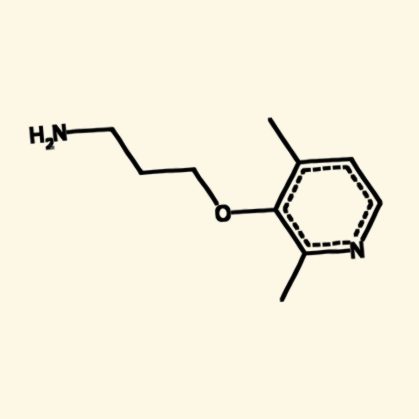 Cc1ccnc(C)c1OCCCN